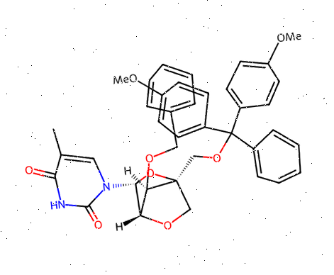 COc1ccc(C(OC[C@@]23CO[C@H]([C@H](n4cc(C)c(=O)[nH]c4=O)O2)[C@H]3OCc2ccccc2)(c2ccccc2)c2ccc(OC)cc2)cc1